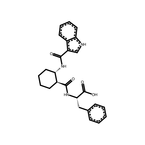 O=C(N[C@H]1CCCC[C@@H]1C(=O)N[C@@H](Cc1ccccc1)C(=O)O)c1c[nH]c2ccccc12